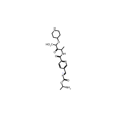 CC(N)OC(=O)/N=C/c1ccc(C(=O)NC(C)C(=O)C(OC2CCNCC2)C(=O)O)nc1